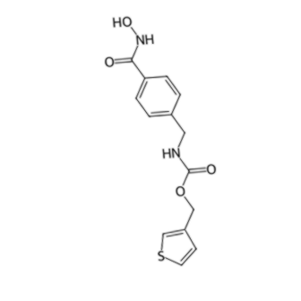 O=C(NCc1ccc(C(=O)NO)cc1)OCc1ccsc1